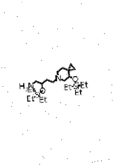 CC[Si](CC)(CC)OC(CN)CCN1CCC2(CC2)C(O[Si](CC)(CC)CC)C1